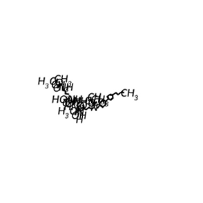 CCCCc1ccc(-c2ccc(CN(CCCC(=O)N[C@H](C(=O)N[C@@H](N)C(=O)N[C@@H](CCCCNC(=O)OC(C)(C)C)C(=O)O)[C@@H](C)O)C(=O)OC(C)(C)C)cc2)cc1